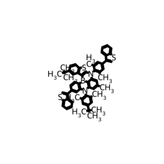 Cc1cc2c3c(c1)N(c1c(C)cc(-c4csc5ccccc45)cc1C)c1sc4ccc(C(C)(C)C)cc4c1B3c1ccc(-c3csc4ccccc34)cc1N2c1c(C)cc(C(C)(C)C)cc1C